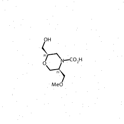 COC[C@H]1CO[C@@H](CO)CN1C(=O)O